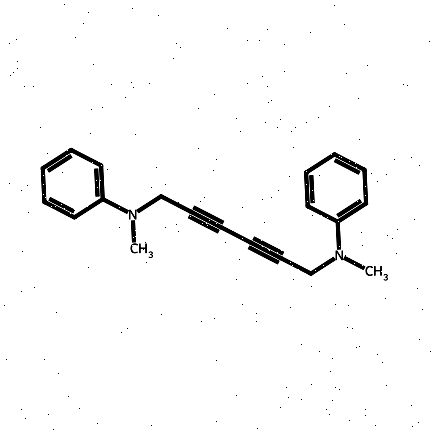 CN(CC#CC#CCN(C)c1ccccc1)c1ccccc1